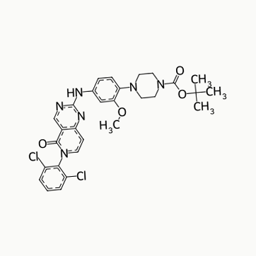 COc1cc(Nc2ncc3c(=O)n(-c4c(Cl)cccc4Cl)ccc3n2)ccc1N1CCN(C(=O)OC(C)(C)C)CC1